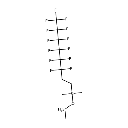 C[SiH2]O[Si](C)(C)CCC(F)(F)C(F)(F)C(F)(F)C(F)(F)C(F)(F)C(F)(F)F